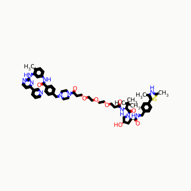 CC1=C(c2ccc(CNC(=O)[C@@H]3C[C@@H](O)CN3C(=O)[C@@H](NC(=O)CCOCCOCCOCCC(=O)N3CCN(Cc4ccc(C(=O)Nc5ccc(C)c(Nc6nccc(-c7cccnc7)n6)c5)cc4)CC3)C(C)(C)C)cc2)SC(C)N1